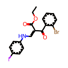 CCOC(=O)C(=CNc1ccc(I)cc1)C(=O)c1ccccc1Br